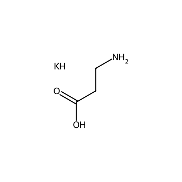 NCCC(=O)O.[KH]